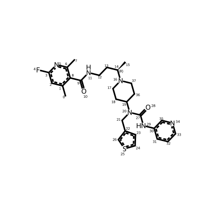 Cc1cc(F)nc(C)c1C(=O)NCC[C@@H](C)N1CCC(N(Cc2ccsc2)C(=O)Nc2cccnc2)CC1